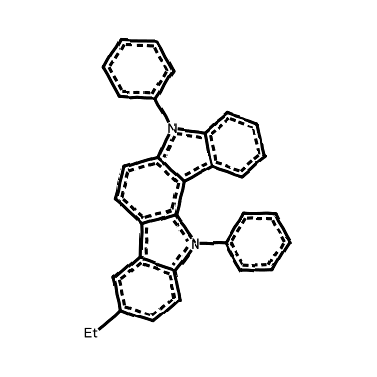 CCc1ccc2c(c1)c1ccc3c(c4ccccc4n3-c3ccccc3)c1n2-c1ccccc1